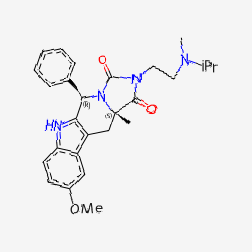 COc1ccc2[nH]c3c(c2c1)C[C@@]1(C)C(=O)N(CCN(C)C(C)C)C(=O)N1[C@@H]3c1ccccc1